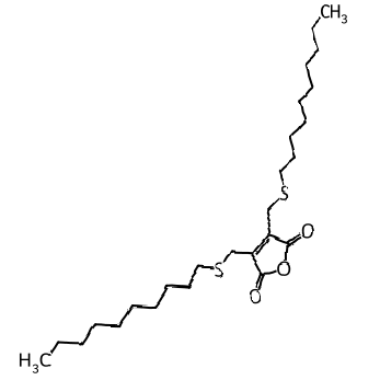 CCCCCCCCCCSCC1=C(CSCCCCCCCCCC)C(=O)OC1=O